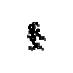 CCOC(=O)c1c(-c2ccc(CNC(C)C)cc2F)nn2c1O[C@H](C)CC2